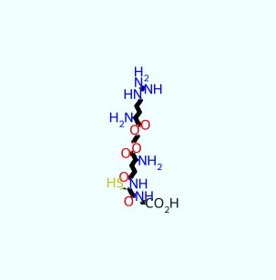 N=C(N)NCCC[C@H](N)C(=O)OCCOC(=O)[C@@H](N)CCC(=O)N[C@@H](CS)C(=O)NCC(=O)O